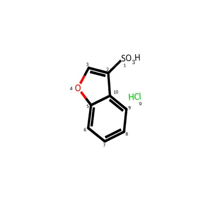 Cl.O=S(=O)(O)c1coc2ccccc12